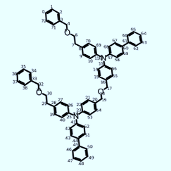 c1ccc(COCCc2ccc(N(c3ccc(COCc4ccc(N(c5ccc(CCOCc6ccccc6)cc5)c5ccc(-c6ccccc6)cc5)cc4)cc3)c3ccc(-c4ccccc4)cc3)cc2)cc1